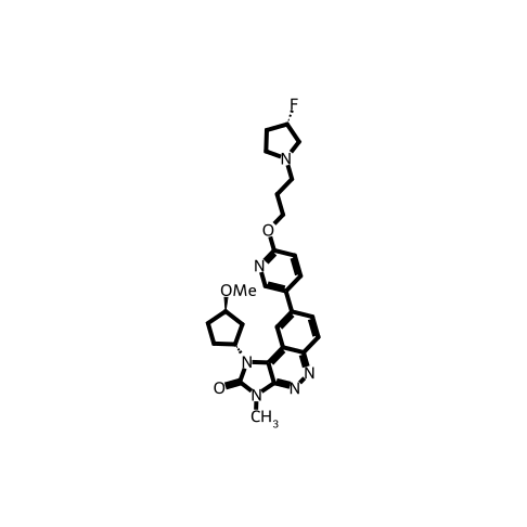 CO[C@@H]1CC[C@@H](n2c(=O)n(C)c3nnc4ccc(-c5ccc(OCCCN6CC[C@H](F)C6)nc5)cc4c32)C1